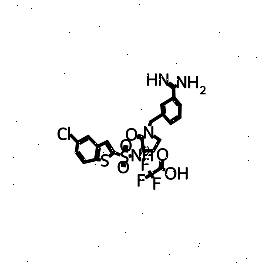 N=C(N)c1cccc(CN2CC[C@H](NS(=O)(=O)c3cc4cc(Cl)ccc4s3)C2=O)c1.O=C(O)C(F)(F)F